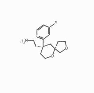 NCC[C@@]1(c2cc(F)ccn2)CCO[C@]2(CCOC2)C1